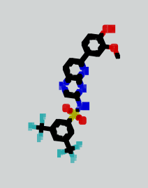 COc1cc(-c2ccc3ncc(NS(=O)(=O)c4cc(C(F)(F)F)cc(C(F)(F)F)c4)nc3n2)ccc1O